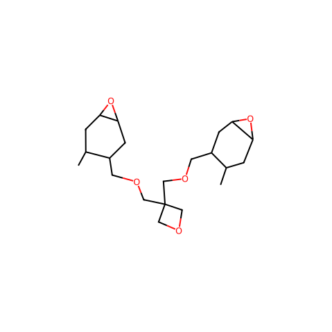 CC1CC2OC2CC1COCC1(COCC2CC3OC3CC2C)COC1